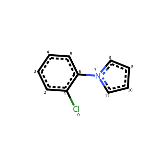 Clc1ccccc1-n1[c]ccc1